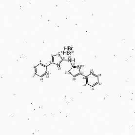 Br.Br.c1ccc(-c2csc(Nc3nc(-c4ccccn4)cs3)n2)nc1